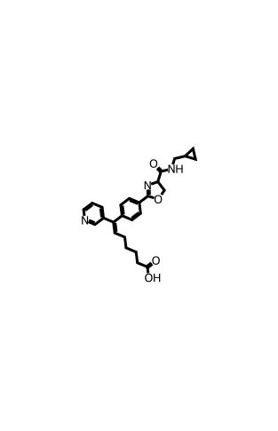 O=C(O)CCCC/C=C(\c1ccc(C2=NC(C(=O)NCC3CC3)CO2)cc1)c1cccnc1